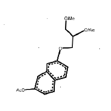 COCC(COc1ccc2ccc(OC(C)=O)cc2c1)OC